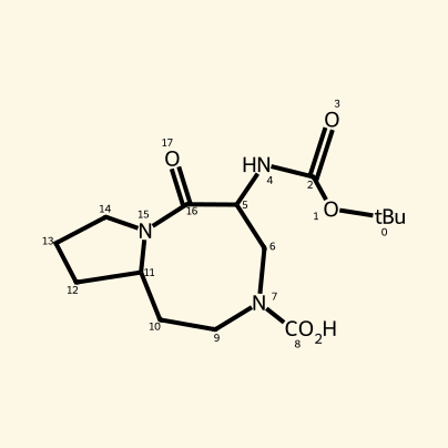 CC(C)(C)OC(=O)NC1CN(C(=O)O)CCC2CCCN2C1=O